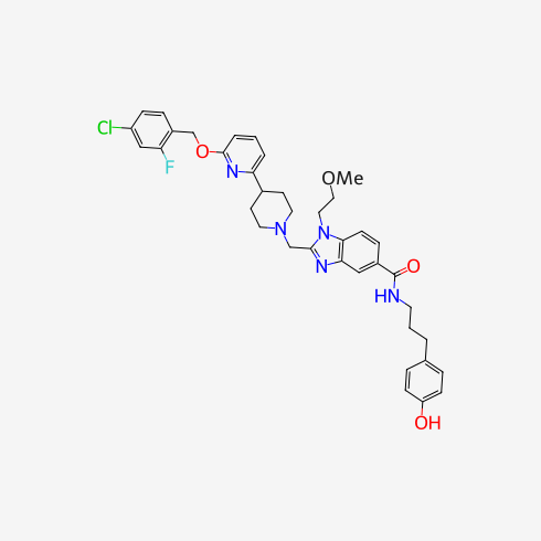 COCCn1c(CN2CCC(c3cccc(OCc4ccc(Cl)cc4F)n3)CC2)nc2cc(C(=O)NCCCc3ccc(O)cc3)ccc21